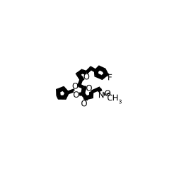 CON=Cc1cc(=O)c(OCc2ccccc2)c(C(=O)c2ccc(Cc3ccc(F)cc3)o2)o1